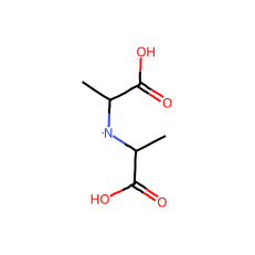 CC([N]C(C)C(=O)O)C(=O)O